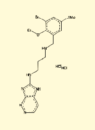 CCOc1c(Br)cc(SC)cc1CNCCCNc1nc2nnccc2[nH]1.Cl.Cl